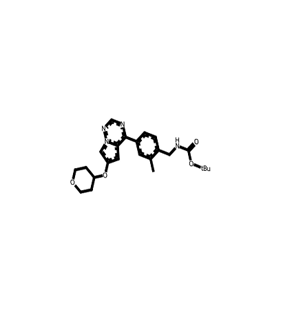 Cc1cc(-c2ncnn3cc(OC4CCOCC4)cc23)ccc1CNC(=O)OC(C)(C)C